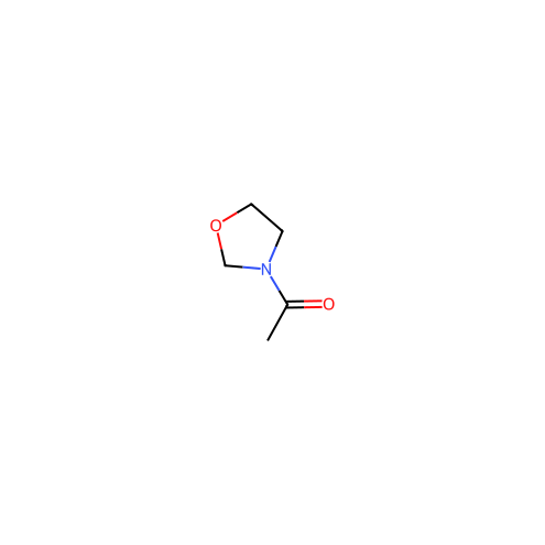 CC(=O)N1CCOC1